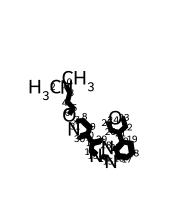 CN(C)CCCOc1ccc(-c2cnc3nc4cccc(C5CCOCC5)c4n3c2)cn1